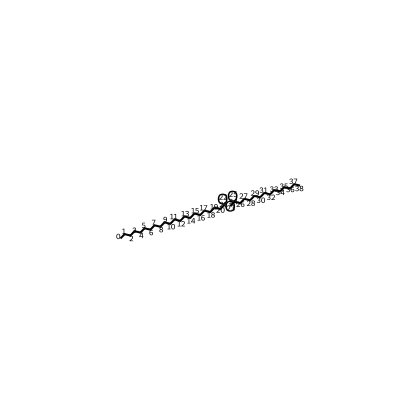 CCCCCCCCCCCCCCCCCCCCCC(=O)OC(=O)CCCCCCCCCCCCC